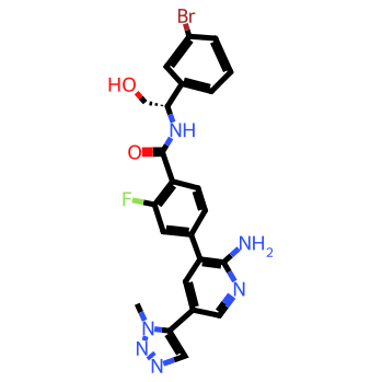 Cn1nncc1-c1cnc(N)c(-c2ccc(C(=O)N[C@H](CO)c3cccc(Br)c3)c(F)c2)c1